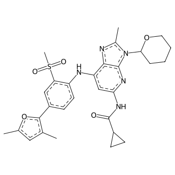 Cc1cc(C)c(-c2ccc(Nc3cc(NC(=O)C4CC4)nc4c3nc(C)n4C3CCCCO3)c(S(C)(=O)=O)c2)o1